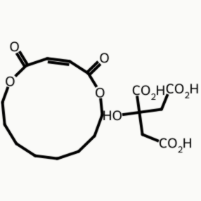 O=C(O)CC(O)(CC(=O)O)C(=O)O.O=C1C=CC(=O)OCCCCCCCCO1